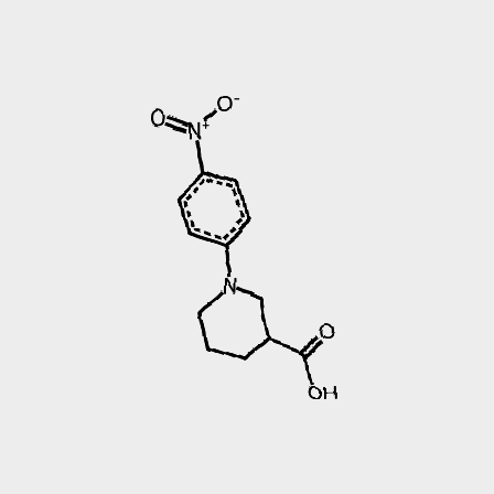 O=C(O)C1CCCN(c2ccc([N+](=O)[O-])cc2)C1